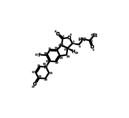 CCC(=O)NC[C@@H]1OC(=O)N2c3cc(F)c(N4C=CC(=O)CC4)cc3C[C@@H]12